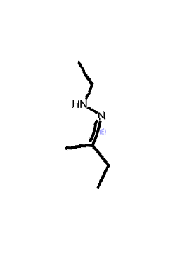 CCN/N=C(\C)CC